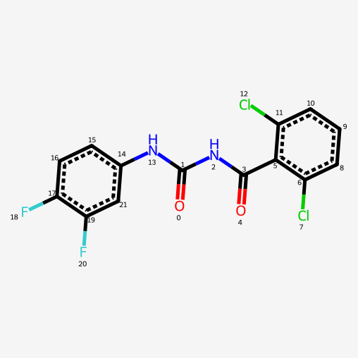 O=C(NC(=O)c1c(Cl)cccc1Cl)Nc1ccc(F)c(F)c1